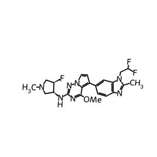 COc1nc(N[C@H]2CN(C)C[C@H]2F)nn2ccc(-c3ccc4nc(C)n(CC(F)F)c4c3)c12